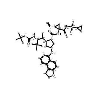 C=C[C@@H]1C[C@]1(NC(=O)[C@@H]1C[C@@H](Oc2nccc3c4c(ccc23)OCC4)CN1C(C)[C@@H](NC(=O)OC(C)(C)C)C(C)(C)C)C(=O)NS(=O)(=O)C1CC1